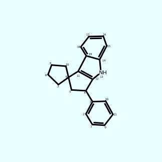 c1ccc(C2CC3(CCCC3)c3c2[nH]c2ccccc32)cc1